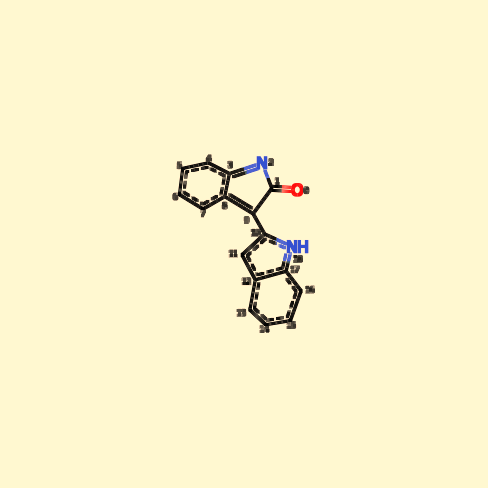 O=C1N=c2ccccc2=C1c1cc2ccccc2[nH]1